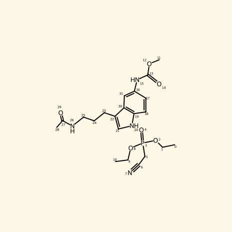 CCOP(=O)(CC#N)OCC.COC(=O)Nc1ccc2[nH]cc(CCCNC(C)=O)c2c1